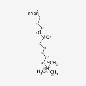 CCCCCCCCCCCCOC(=O)CCCCC[N+](C)(C)C